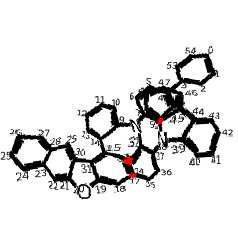 c1ccc(-c2ccc(N(c3ccccc3-c3cccc4oc5cc6ccccc6cc5c34)c3ccccc3-n3c4ccccc4c4ccccc43)cc2)cc1